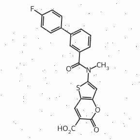 CN(C(=O)c1cccc(-c2ccc(F)cc2)c1)c1cc2oc(=O)c(C(=O)O)cc2s1